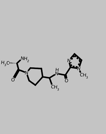 CC(NC(=O)c1nccn1C)C1CCN(C(=O)[C@H](C)N)CC1